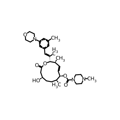 C/C(=C\c1cc(C)cc(N2CCOCC2)c1)[C@H]1OC(=O)C[C@H](O)CC[C@H](C)[C@H](OC(=O)N2CCN(C)CC2)/C=C/[C@@H]1C